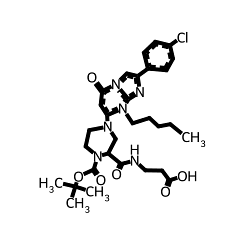 CCCCCn1c(N2CCN(C(=O)OC(C)(C)C)C(C(=O)NCCC(=O)O)C2)cc(=O)n2cc(-c3ccc(Cl)cc3)nc12